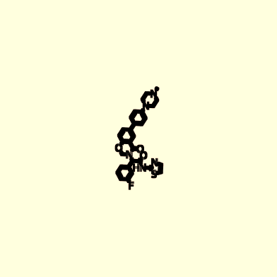 CN1CCN(c2ccc(-c3ccc4c(c3)C(=O)N(C(C(=O)Nc3nccs3)c3cccc(F)c3)CO4)cc2)CC1